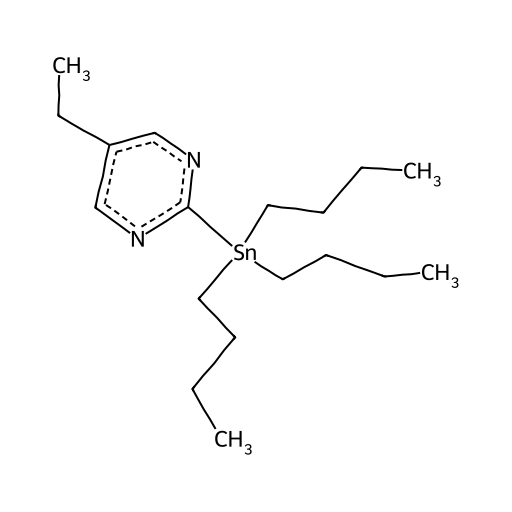 CCC[CH2][Sn]([CH2]CCC)([CH2]CCC)[c]1ncc(CC)cn1